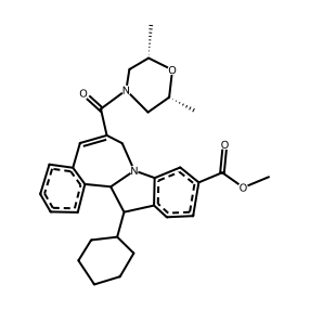 COC(=O)c1ccc2c(c1)N1CC(C(=O)N3C[C@@H](C)O[C@@H](C)C3)=Cc3ccccc3C1C2C1CCCCC1